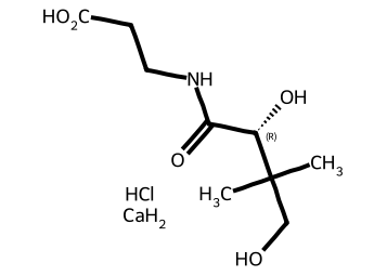 CC(C)(CO)[C@@H](O)C(=O)NCCC(=O)O.Cl.[CaH2]